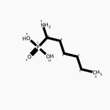 CCCCCC(N)P(=O)(O)O